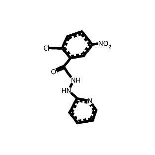 O=C(NNc1ccccn1)c1cc([N+](=O)[O-])ccc1Cl